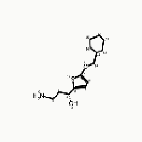 NCC[C@@H](O)c1ccc(OCC2CCCCC2)s1